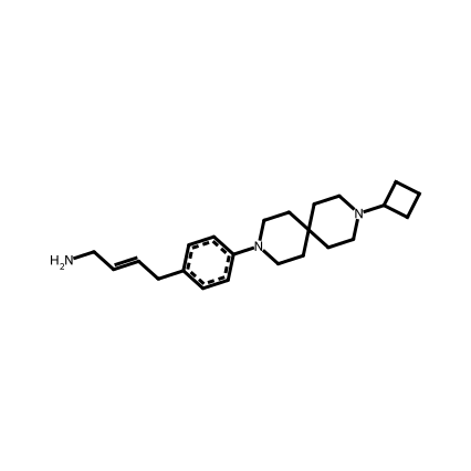 NCC=CCc1ccc(N2CCC3(CC2)CCN(C2CCC2)CC3)cc1